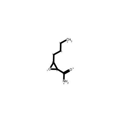 CCCCC1OC1C(N)=O